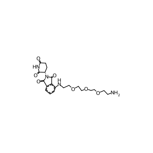 NCCOCCOCCOCCNc1cccc2c1C(=O)N([C@H]1CCC(=O)NC1=O)C2=O